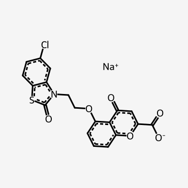 O=C([O-])c1cc(=O)c2c(OCCn3c(=O)sc4ccc(Cl)cc43)cccc2o1.[Na+]